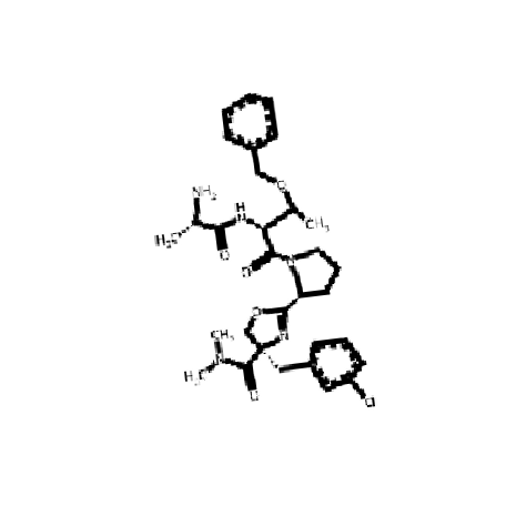 CC(OCc1ccccc1)[C@H](NC(=O)[C@H](C)N)C(=O)N1CCC[C@H]1C1=N[C@@](Cc2cccc(Cl)c2)(C(=O)N(C)C)CO1